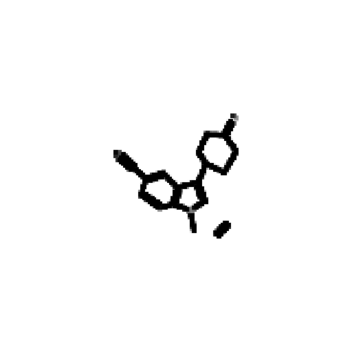 C=C.Cn1cc(C2CCC(=O)CC2)c2cc(C#N)ccc21